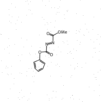 COC(=O)N=NC(=O)Oc1ccccc1